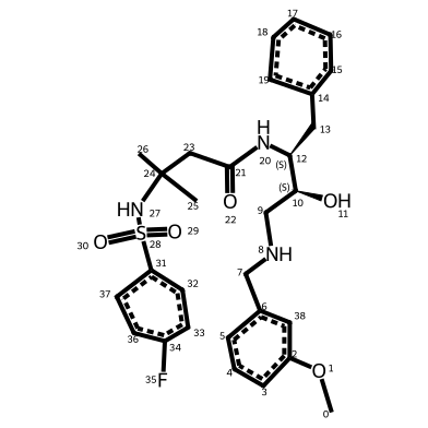 COc1cccc(CNC[C@H](O)[C@H](Cc2ccccc2)NC(=O)CC(C)(C)NS(=O)(=O)c2ccc(F)cc2)c1